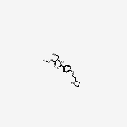 CC(C)CC(NC(=O)c1ccc(SCCC2CCCN2)cc1)C(=O)NCC#N